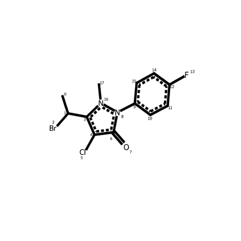 CC(Br)c1c(Cl)c(=O)n(-c2ccc(F)cc2)n1C